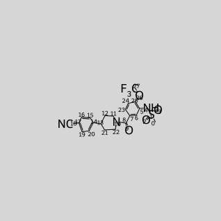 CS(=O)(=O)Nc1cc(C(=O)N2CCC(c3ccc(C#N)cc3)CC2)ccc1OC(F)(F)F